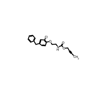 CC#CCOC(=O)NCCOc1ccc(Cc2ccccc2)cc1Cl